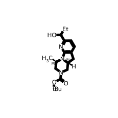 CCC(O)c1ccc2c(n1)N1[C@H](C2)CN(C(=O)OC(C)(C)C)C[C@H]1C